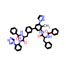 Cc1c(NC(=O)C(Cc2ccccc2)NC(=O)c2ccccc2)cc(-c2cccc(CC(NC(=O)c3ccccc3)C(=O)Nc3ccccc3-n3cnnn3)c2)cc1-n1ccnn1